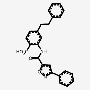 O=C(Nc1cc(CCc2ccccc2)ccc1C(=O)O)c1cc(-c2ccccc2)no1